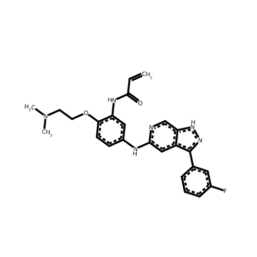 C=CC(=O)Nc1cc(Nc2cc3c(-c4cccc(F)c4)n[nH]c3cn2)ccc1OCCN(C)C